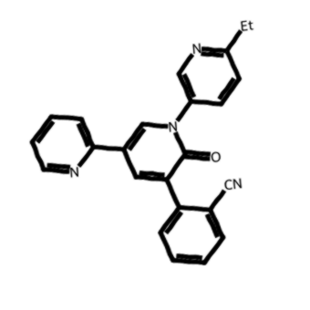 CCc1ccc(-n2cc(-c3ccccn3)cc(-c3ccccc3C#N)c2=O)cn1